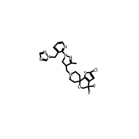 CC1=NN(c2ncccc2Cn2cncn2)CC1CN1CCC2(CC1)OCC(F)(F)c1cc(Cl)sc12